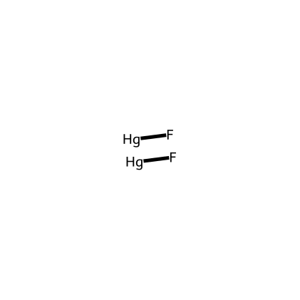 [F][Hg].[F][Hg]